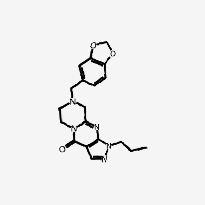 CCCn1ncc2c(=O)n3c(nc21)CN(Cc1ccc2c(c1)OCO2)CC3